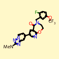 CNc1nc2cc(-c3cnc4c(c3)C(=O)N(Cc3cc(OC(F)(F)F)ccc3F)CCO4)ccn2n1